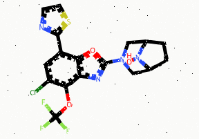 ON1C2CCC1CN(c1nc3c(OC(F)(F)F)c(Cl)cc(-c4nccs4)c3o1)C2